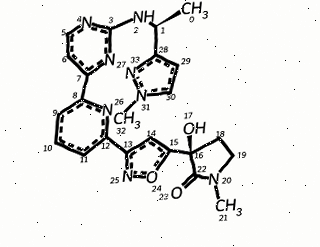 C[C@H](Nc1nccc(-c2cccc(-c3cc([C@]4(O)CCN(C)C4=O)on3)n2)n1)c1ccn(C)n1